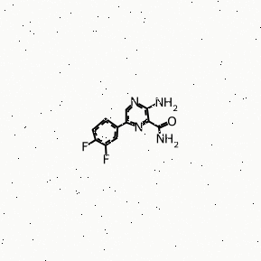 NC(=O)c1nc(-c2ccc(F)c(F)c2)cnc1N